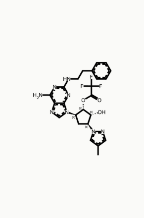 Cc1cnn([C@H]2C[C@@H](n3cnc4c(N)nc(NCCc5ccccc5)nc43)[C@H](OC(=O)C(F)(F)F)[C@@H]2O)c1